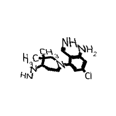 CC1(C)CN(c2cc(Cl)cc(N)c2C=N)CCC1N=N